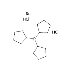 C1CCC(P(C2CCCC2)C2CCCC2)C1.Cl.Cl.[Ru]